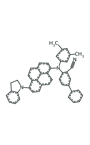 Cc1cc(C)cc(N(c2ccc(-c3ccccc3)cc2C#N)c2ccc3ccc4c(N5CCc6ccccc65)ccc5ccc2c3c54)c1